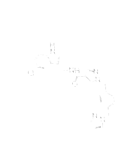 O=C(NCc1c[nH]c2ccc(Cl)cc12)c1cnn(Cc2ccc(Cn3cccn3)cc2)c1